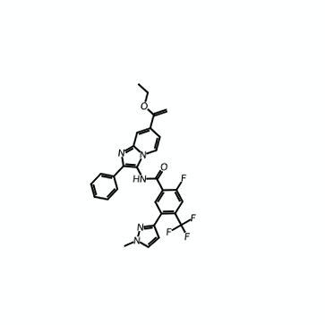 C=C(OCC)c1ccn2c(NC(=O)c3cc(-c4ccn(C)n4)c(C(F)(F)F)cc3F)c(-c3ccccc3)nc2c1